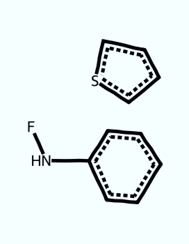 FNc1ccccc1.c1ccsc1